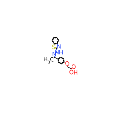 CC(=NNc1nc2ccccc2s1)c1ccc(OCC(=O)O)cc1